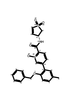 Cc1ccc(OCc2ccccc2)c(-c2ccc(C(=O)N[C@@H]3C=CS(=O)(=O)C3)[n+]([O-])c2)c1